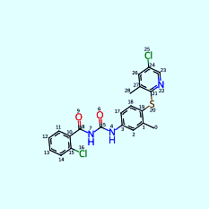 Cc1cc(NC(=O)NC(=O)c2ccccc2Cl)ccc1Sc1ncc(Cl)cc1C